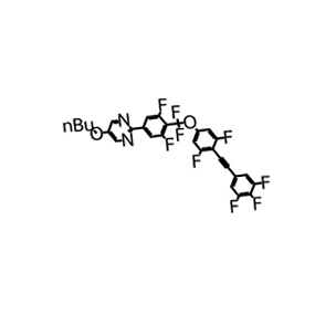 CCCCOc1cnc(-c2cc(F)c(C(F)(F)Oc3cc(F)c(C#Cc4cc(F)c(F)c(F)c4)c(F)c3)c(F)c2)nc1